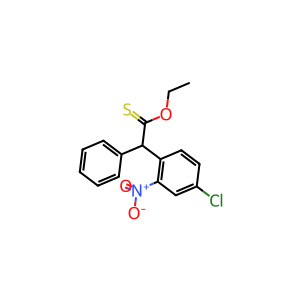 CCOC(=S)C(c1ccccc1)c1ccc(Cl)cc1[N+](=O)[O-]